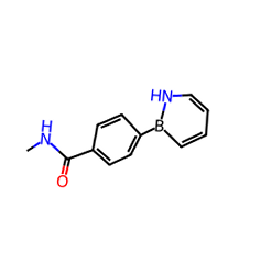 CNC(=O)c1ccc(B2C=CC=CN2)cc1